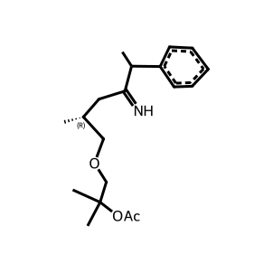 CC(=O)OC(C)(C)COC[C@H](C)CC(=N)C(C)c1ccccc1